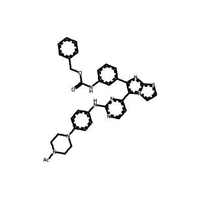 CC(=O)N1CCN(c2ccc(Nc3nccc(-c4c(-c5cccc(NC(=O)OCc6ccccc6)c5)nc5sccn45)n3)cc2)CC1